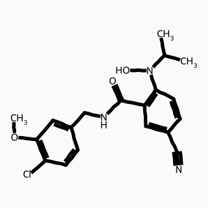 COc1cc(CNC(=O)c2cc(C#N)ccc2N(O)C(C)C)ccc1Cl